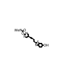 CNC(=O)Oc1ncc(C#CC=Cc2nc3ccc(O)cc3s2)cn1